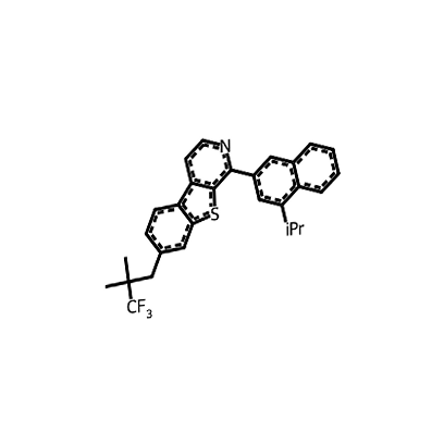 CC(C)c1cc(-c2nccc3c2sc2cc(CC(C)(C)C(F)(F)F)ccc23)cc2ccccc12